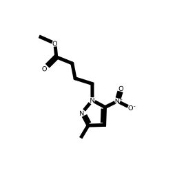 COC(=O)CCCn1nc(C)cc1[N+](=O)[O-]